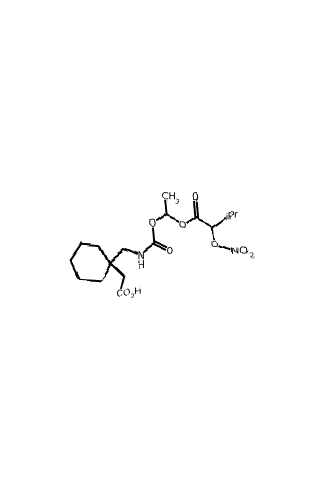 CC(OC(=O)NCC1(CC(=O)O)CCCCC1)OC(=O)C(O[N+](=O)[O-])C(C)C